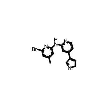 Cc1cc(Br)nc(Nc2cc(C3=CCN=C3)ccn2)c1